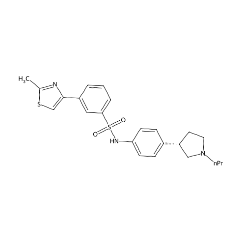 CCCN1CC[C@@H](c2ccc(NS(=O)(=O)c3cccc(-c4csc(C)n4)c3)cc2)C1